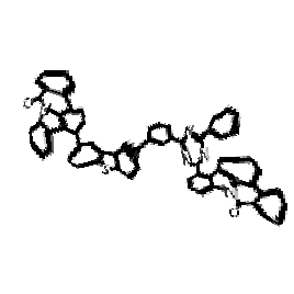 O=c1c2ccccc2c2cccc3c4c(-c5nc(-c6ccccc6)nc(-c6cccc(-c7ccc8sc9ccc(-c%10ccc%11c%12ccccc%12c(=O)n%12c%13ccccc%13c%10c%11%12)cc9c8c7)c6)n5)cccc4n1c23